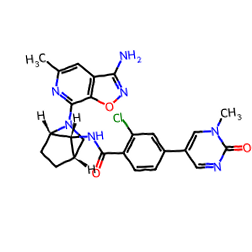 Cc1cc2c(N)noc2c(N2C[C@@H]3CC[C@H]2[C@@H]3NC(=O)c2ccc(-c3cnc(=O)n(C)c3)cc2Cl)n1